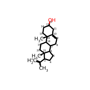 C=C(C)C1CCC2C3CC=C4CC(O)CCC4(C)C3CCC12C